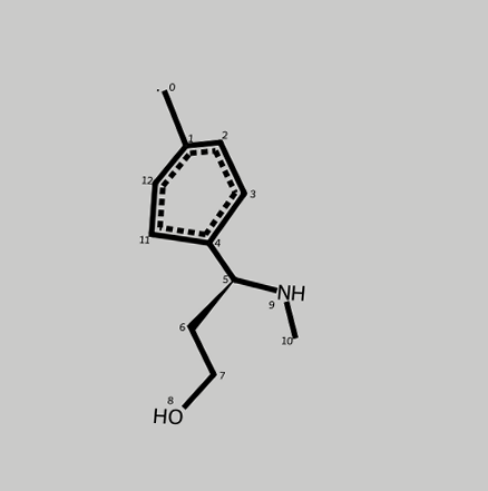 [CH2]c1ccc([C@H](CCO)NC)cc1